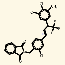 Cc1cc(C(/C=C/c2ccc(CN3C(=O)c4ccccc4C3=O)c(Cl)c2)C(F)(F)F)cc(Cl)c1Cl